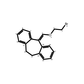 BrCCOC=C1c2ccccc2CCc2ccccc21